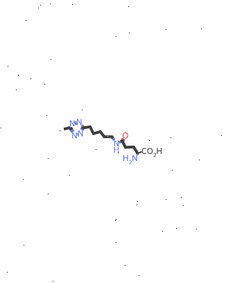 Cc1nnc(CCCCCNC(=O)CC[C@H](N)C(=O)O)nn1